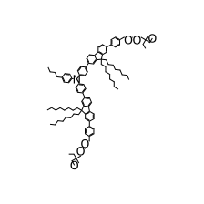 CCCCCCCCC1(CCCCCCCC)c2cc(-c3ccc(COCOCC4(CC)COC4)cc3)ccc2-c2ccc(-c3ccc(N(c4ccc(CCCC)cc4)c4ccc(-c5ccc6c(c5)C(CCCCCCCC)(CCCCCCCC)c5cc(-c7ccc(COCOCC8(CC)COC8)cc7)ccc5-6)cc4)cc3)cc21